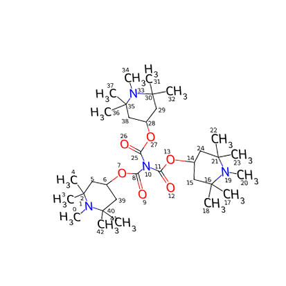 CN1C(C)(C)CC(OC(=O)N(C(=O)OC2CC(C)(C)N(C)C(C)(C)C2)C(=O)OC2CC(C)(C)N(C)C(C)(C)C2)CC1(C)C